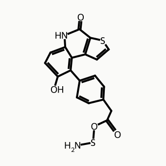 NSOC(=O)Cc1ccc(-c2c(O)ccc3[nH]c(=O)c4sccc4c23)cc1